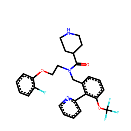 O=C(C1CCNCC1)N(CCOc1ccccc1F)Cc1cccc(OC(F)(F)F)c1-c1ccccn1